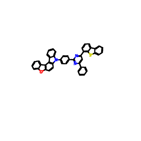 c1ccc(-c2cc(-c3cccc4c3sc3ccccc34)nc(-c3ccc(-n4c5ccccc5c5c6c(ccc54)oc4ccccc46)cc3)n2)cc1